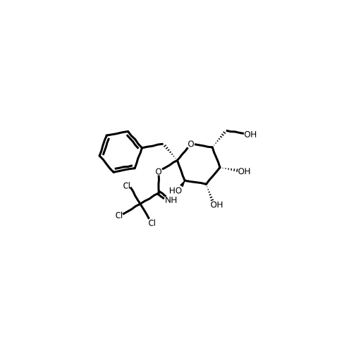 N=C(O[C@@]1(Cc2ccccc2)O[C@H](CO)[C@H](O)[C@H](O)[C@H]1O)C(Cl)(Cl)Cl